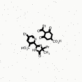 CCC(=O)C1C(=O)CC(C(=O)O)CC1=O.CCc1cnc(C2=NC(C)(C(C)C)C(=O)N2)c(C(=O)O)c1